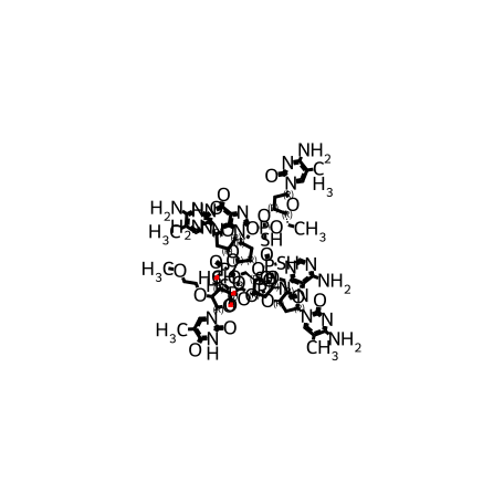 CC[C@H]1O[C@@H](n2cc(C)c(N)nc2=O)C[C@H]1OP(=O)(S)OC[C@H]1O[C@@H](n2cc(C)c(N)nc2=O)C[C@H]1OP(=O)(S)OC[C@H]1O[C@@H](n2cnc3c(N)ncnc32)C[C@H]1OP(=O)(S)OC[C@H]1O[C@@H](n2cnc3c(=O)[nH]c(N)nc32)C[C@H]1OP(=O)(S)OC[C@H]1O[C@@H](n2cc(C)c(N)nc2=O)C[C@H]1OP(=O)(S)OC[C@H]1O[C@@H](n2cc(C)c(=O)[nH]c2=O)C(OCCOC)[C@H]1C